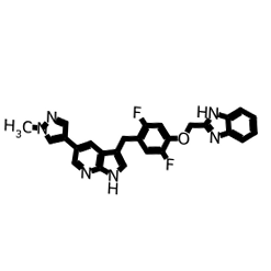 Cn1cc(-c2cnc3[nH]cc(Cc4cc(F)c(OCc5nc6ccccc6[nH]5)cc4F)c3c2)cn1